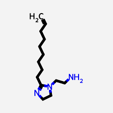 C=CCCCCCCCC1=NCCN1CCN